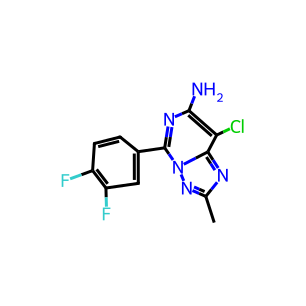 Cc1nc2c(Cl)c(N)nc(-c3ccc(F)c(F)c3)n2n1